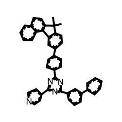 CC1(C)c2ccc(-c3ccc(-c4nc(-c5ccncc5)nc(-c5cccc(-c6ccccc6)c5)n4)cc3)cc2-c2c1ccc1ccccc21